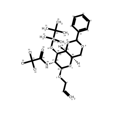 C=CCO[C@@H]1O[C@@H]2COC(c3ccccc3)O[C@H]2[C@H](O[Si](C)(C)C(C)(C)C)[C@H]1NC(=O)C(Cl)(Cl)Cl